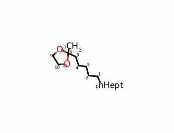 CCCCCCCCCCCCC1(C)OCCO1